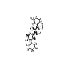 Cc1ccc(C)c(NC(=O)Nc2cncc(-c3ccccc3)n2)c1